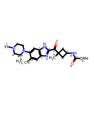 CCN1CCN(c2cc3[nH]c(C(=O)C4(C)CC(NC(=O)OC)C4)nc3cc2Cl)[C@H](C)C1